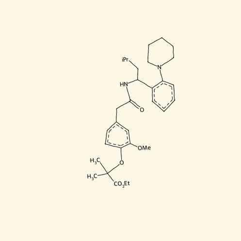 CCOC(=O)C(C)(C)Oc1ccc(CC(=O)NC(CC(C)C)c2ccccc2N2CCCCC2)cc1OC